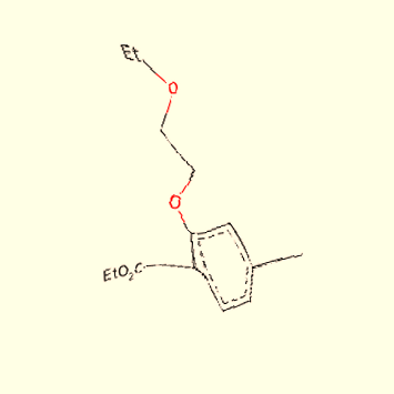 CCOCCOc1cc(C)ccc1C(=O)OCC